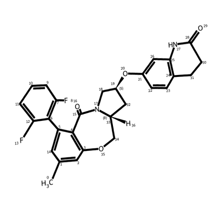 Cc1cc2c(c(-c3c(F)cccc3F)c1)C(=O)N1C[C@@H](Oc3ccc4c(c3)NC(=O)CC4)C[C@@H]1CO2